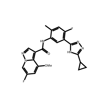 COc1cc(F)cn2ncc(C(=O)Nc3cc(-c4nnc(C5CC5)[nH]4)c(F)cc3C)c12